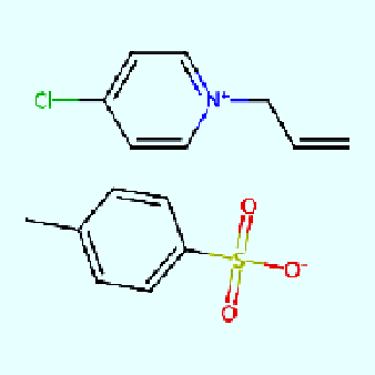 C=CC[n+]1ccc(Cl)cc1.Cc1ccc(S(=O)(=O)[O-])cc1